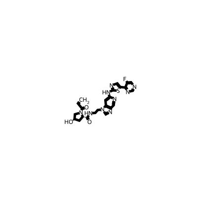 C=CC(=O)N1C[C@H](O)C[C@H]1C(=O)NCCn1cnc2cnc(Nc3ncc(-c4ncncc4F)s3)cc21